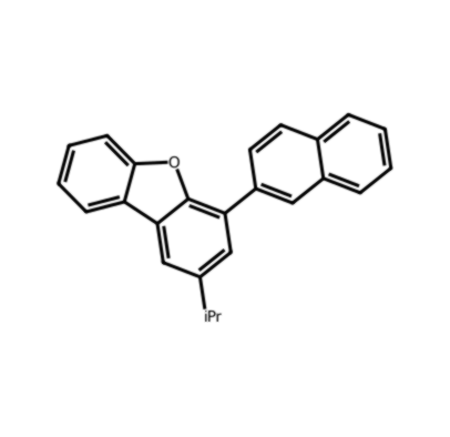 CC(C)c1cc(-c2ccc3ccccc3c2)c2oc3ccccc3c2c1